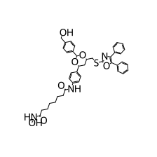 O=C(CCCCCCC(=O)Nc1ccc(C2CC(CSc3nc(-c4ccccc4)c(-c4ccccc4)o3)OC(c3ccc(CO)cc3)O2)cc1)NO